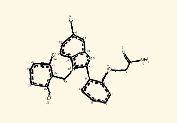 NC(=O)COc1ccccc1-c1nc2cc(Cl)ccc2n1Cc1c(Cl)cccc1Cl